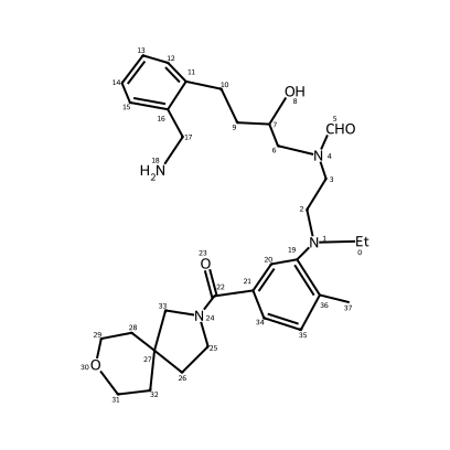 CCN(CCN(C=O)CC(O)CCc1ccccc1CN)c1cc(C(=O)N2CCC3(CCOCC3)C2)ccc1C